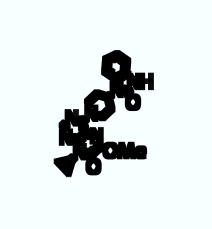 COc1nc2c(N3CCC(n4c(=O)[nH]c5ccccc54)CC3)ncnc2n(C2CC2)c1=O